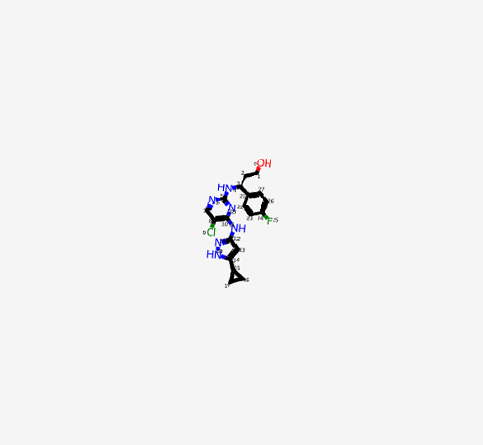 OCC[C@H](Nc1ncc(Cl)c(Nc2cc(C3CC3)[nH]n2)n1)c1ccc(F)cc1